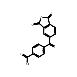 O=C(Cl)c1ccc(C(=O)c2ccc3c(c2)C(=O)OC3=O)cc1